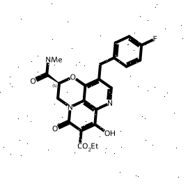 CCOC(=O)c1c(O)c2ncc(Cc3ccc(F)cc3)c3c2n(c1=O)C[C@@H](C(=O)NC)O3